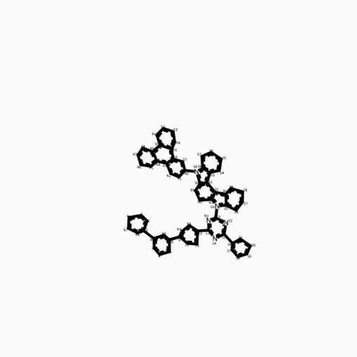 c1ccc(-c2cccc(-c3ccc(-c4nc(-c5ccccc5)nc(-n5c6ccccc6c6c7c8ccccc8n(-c8ccc9c%10ccccc%10c%10ccccc%10c9c8)c7ccc65)n4)cc3)c2)cc1